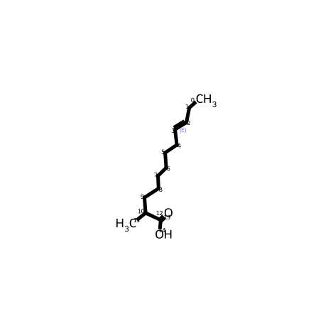 CC/C=C/CCCCCCC(C)C(=O)O